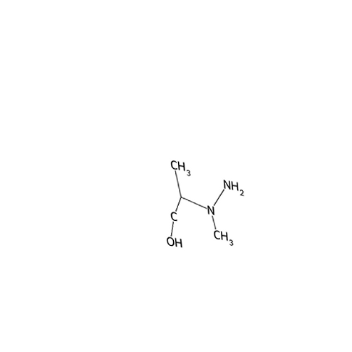 CC(CO)N(C)N